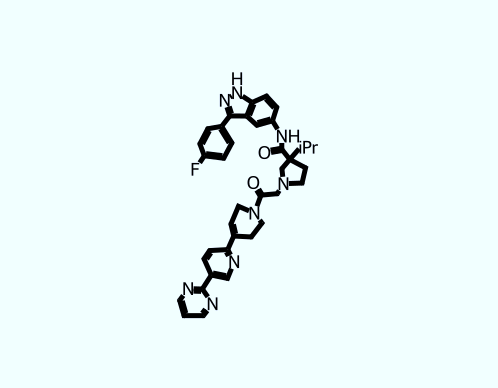 CC(C)C1(C(=O)Nc2ccc3[nH]nc(-c4ccc(F)cc4)c3c2)CCN(CC(=O)N2CC=C(c3ccc(-c4ncccn4)cn3)CC2)C1